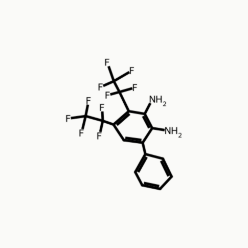 Nc1c(-c2ccccc2)cc(C(F)(F)C(F)(F)F)c(C(F)(F)C(F)(F)F)c1N